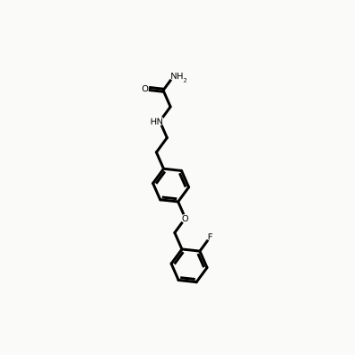 NC(=O)CNCCc1ccc(OCc2ccccc2F)cc1